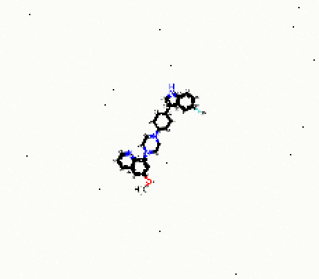 COc1cc(N2CCN(C3CCC(c4c[nH]c5ccc(F)cc45)CC3)CC2)c2ncccc2c1